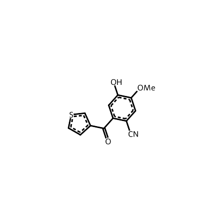 COc1cc(C#N)c(C(=O)c2ccsc2)cc1O